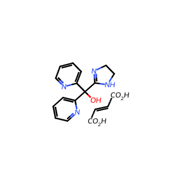 O=C(O)C=CC(=O)O.OC(C1=NCCN1)(c1ccccn1)c1ccccn1